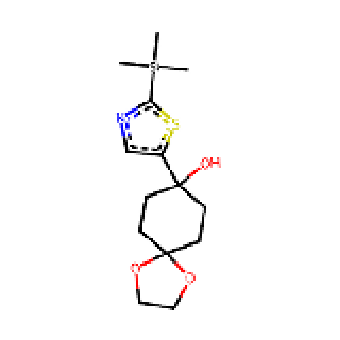 C[Si](C)(C)c1ncc(C2(O)CCC3(CC2)OCCO3)s1